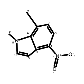 Cc1ccc([N+](=O)[O-])c2ccn(C)c12